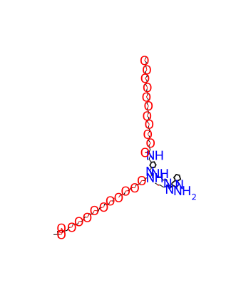 CCCCc1nc2c(N)nc3ccccc3c2n1CCCCN/C(=N\c1cccc(CNC(=O)CCOCCOCCOCCOCCOCCOCCOCCOCCOCCOC)c1)NCCOCCOCCOCCOCCOCCOCCOCCOCCOCCOCCC(=O)OC(C)(C)C